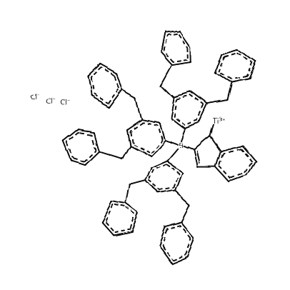 [Cl-].[Cl-].[Cl-].[Ti+3][CH]1C([Si](c2cc(Cc3ccccc3)cc(Cc3ccccc3)c2)(c2cc(Cc3ccccc3)cc(Cc3ccccc3)c2)c2cc(Cc3ccccc3)cc(Cc3ccccc3)c2)=Cc2ccccc21